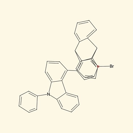 Brc1ccc(-c2cccc3c2c2ccccc2n3-c2ccccc2)c2c1C1c3ccccc3C2c2ccccc21